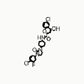 O=C(N[C@H]1CC[C@H](N2CCN(c3ccc(Cl)c(F)c3)C2=O)CC1)[C@H]1C[C@@H](O)c2cc(Cl)ccc2O1